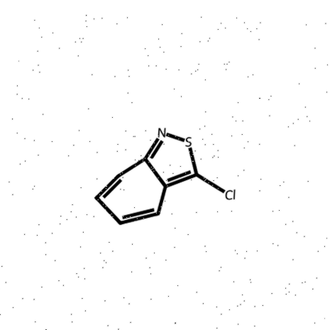 Clc1snc2ccccc12